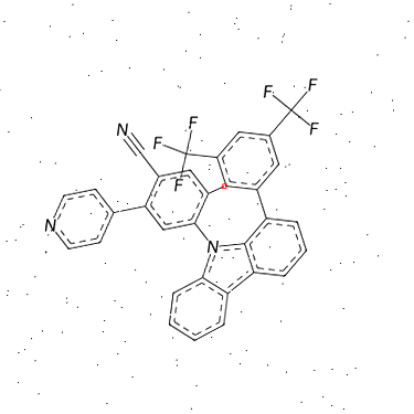 Cc1cc(C#N)c(-c2ccncc2)cc1-n1c2ccccc2c2cccc(-c3cc(C(F)(F)F)cc(C(F)(F)F)c3)c21